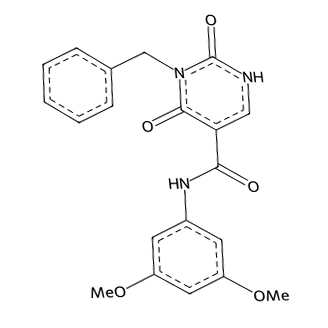 COc1cc(NC(=O)c2c[nH]c(=O)n(Cc3ccccc3)c2=O)cc(OC)c1